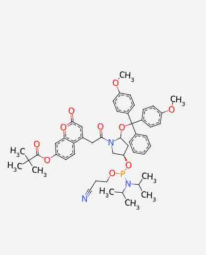 COc1ccc(C(OC2C[C@@H](OP(OCCC#N)N(C(C)C)C(C)C)CN2C(=O)Cc2cc(=O)oc3cc(OC(=O)C(C)(C)C)ccc23)(c2ccccc2)c2ccc(OC)cc2)cc1